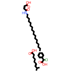 CC(C)/C=C/CCCCC(=O)O.CCCCCCCCCCCCCCCCCCNC(=O)/C=C\C(=O)O.O=C(O)C(Cl)c1ccccc1